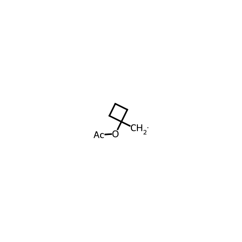 [CH2]C1(OC(C)=O)CCC1